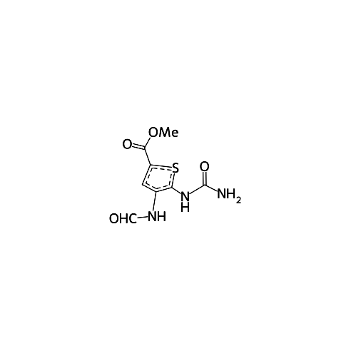 COC(=O)c1cc(NC=O)c(NC(N)=O)s1